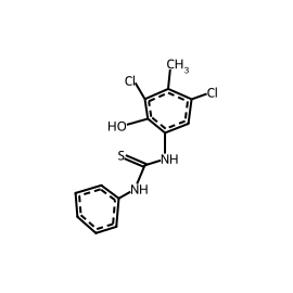 Cc1c(Cl)cc(NC(=S)Nc2ccccc2)c(O)c1Cl